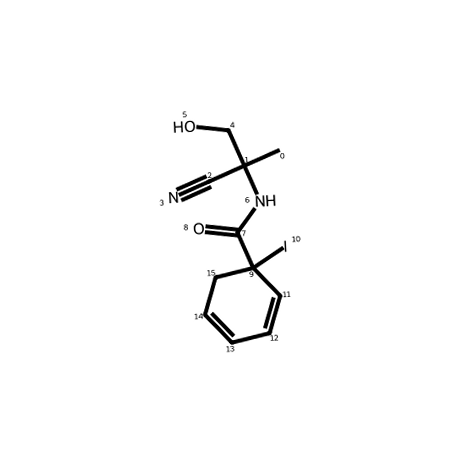 CC(C#N)(CO)NC(=O)C1(I)C=CC=CC1